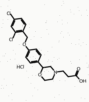 Cl.O=C(O)CCN1CCOC(c2ccc(OCc3ccc(Cl)cc3Cl)cc2)C1